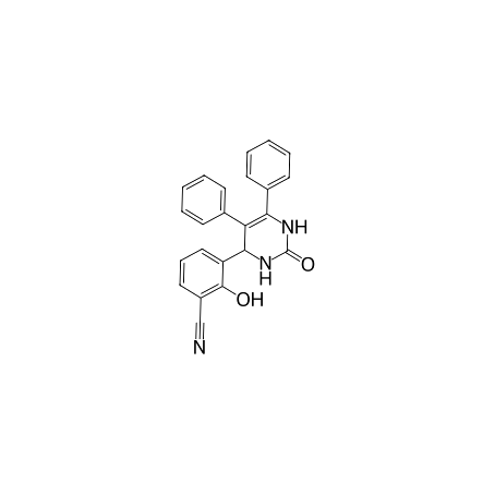 N#Cc1cccc(C2NC(=O)NC(c3ccccc3)=C2c2ccccc2)c1O